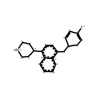 FC1=CCC(Cc2ccc(C3CCNCC3)c3ccccc23)C=C1